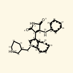 O=C1NC(=O)C(c2cn(CC3CCCNC3)c3ccccc23)=C1Nc1ccccc1